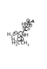 COCCC(NC(=O)OC(C)(C)C)c1csc(NS(=O)(=O)C2CC2)n1